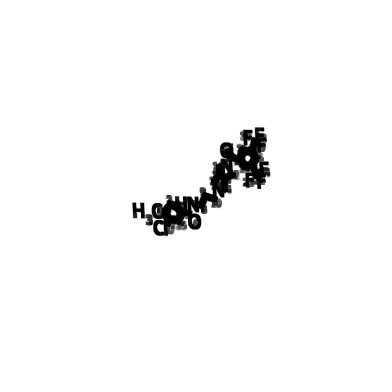 Cc1ccc(C(=O)NCCCN2CC3CN(C(=O)c4cc(C(F)(F)F)cc(C(F)(F)F)c4)CC3C2)cc1Cl